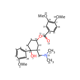 COc1cccc(C2(O)CCC(OC(=O)c3ccc(OC)c(OC)c3)CC2CN(C)C)c1